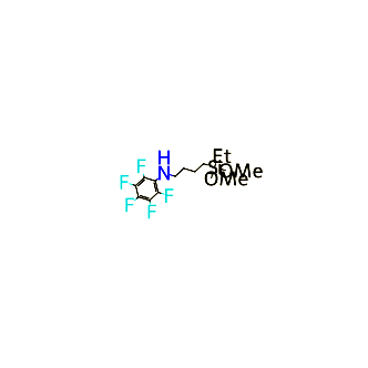 CC[Si](CCCCNc1c(F)c(F)c(F)c(F)c1F)(OC)OC